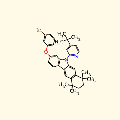 CC(C)(C)c1ccnc(-n2c3cc(Oc4cccc(Br)c4)ccc3c3cc4c(cc32)C(C)(C)CCC4(C)C)c1